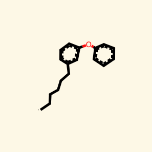 [CH2]CCCCCc1cccc(Oc2ccccc2)c1